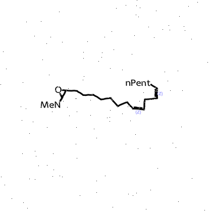 CCCCC/C=C\C/C=C\CCCCCCCC1OC1NC